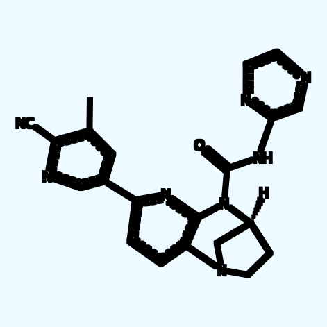 Cc1cc(-c2ccc3c(n2)N(C(=O)Nc2cnccn2)[C@H]2CCN3C2)cnc1C#N